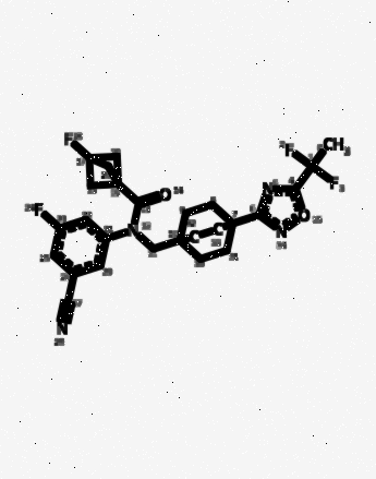 CC(F)(F)c1nc(C23CCC(CN(C(=O)C45CC(F)(C4)C5)c4cc(F)cc(C#N)c4)(CC2)CC3)no1